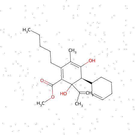 C=C(C)C1(O)C(C(=O)OC)=C(CCCCC)C(C)=C(O)[C@H]1C1C=CCCC1